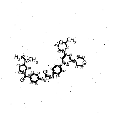 CC1CN(C2=CN(c3ccc(NC(=O)Nc4ccc(C(=O)N5CCC(N(C)C)C5)cc4)cc3)SC(N3CCOCC3)=C2)CCO1